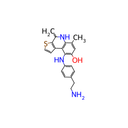 C=C1Nc2c(C)cc(O)c(Nc3ccc(CCN)cc3)c2-c2ccsc21